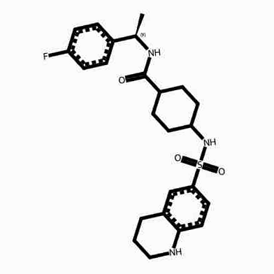 C[C@@H](NC(=O)C1CCC(NS(=O)(=O)c2ccc3c(c2)CCCN3)CC1)c1ccc(F)cc1